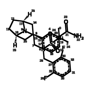 CN(C)S(=O)(=O)N(CCN1[C@@H]2CC[C@H]1C[C@@H](c1cccc(C(N)=O)c1)C2)Cc1c(F)cccc1F